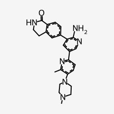 Cc1nc(-c2cnc(N)c(-c3ccc4c(c3)CCNC4=O)c2)ccc1N1CCN(C)CC1